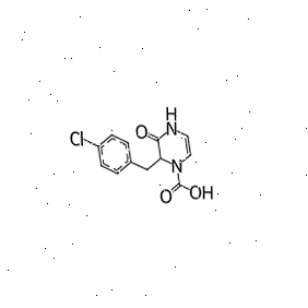 O=C1NC=CN(C(=O)O)C1Cc1ccc(Cl)cc1